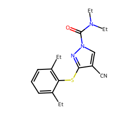 CCc1cccc(CC)c1Sc1nn(C(=O)N(CC)CC)cc1C#N